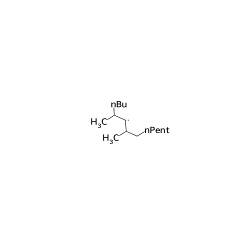 CCCCCCC(C)[CH]C(C)CCCC